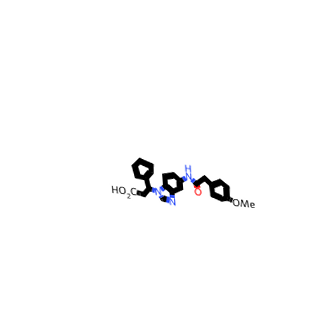 COc1ccc(CC(=O)Nc2ccc3c(c2)ncn3C(CC(=O)O)c2ccccc2)cc1